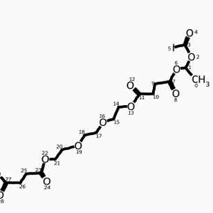 CC(OC(=O)I)OC(=O)CCC(=O)OCCOCCOCCOC(=O)CCC(=O)I